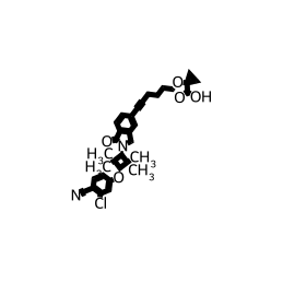 CC1(C)[C@H](Oc2ccc(C#N)c(Cl)c2)C(C)(C)[C@H]1N1Cc2cc(C#CCCCCOC3(C(=O)O)CC3)ccc2C1=O